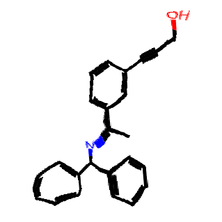 CC(=NC(c1ccccc1)c1ccccc1)c1cccc(C#CCO)c1